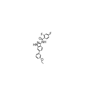 CCOc1cccc(-c2ccc3c(NC(=O)c4ccc(F)cc4F)n[nH]c3c2)c1